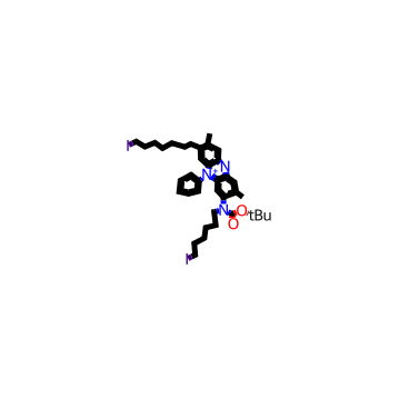 Cc1cc2nc3cc(C)c(N(CCCCCCI)C(=O)OC(C)(C)C)cc3[n+](-c3ccccc3)c2cc1CCCCCCCI